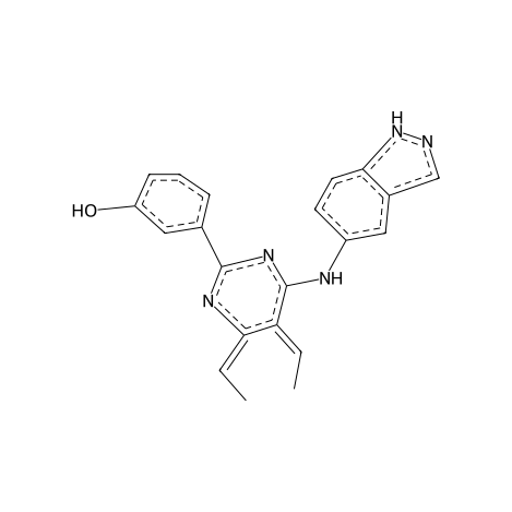 C/C=c1/nc(-c2cccc(O)c2)nc(Nc2ccc3[nH]ncc3c2)/c1=C/C